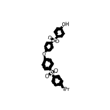 CC(C)c1ccc(S(=O)(=O)c2ccc(Oc3ccc(S(=O)(=O)c4ccc(O)cc4)cc3)cc2)cc1